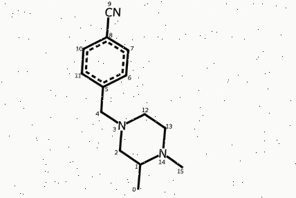 CC1CN(Cc2ccc(C#N)cc2)CCN1C